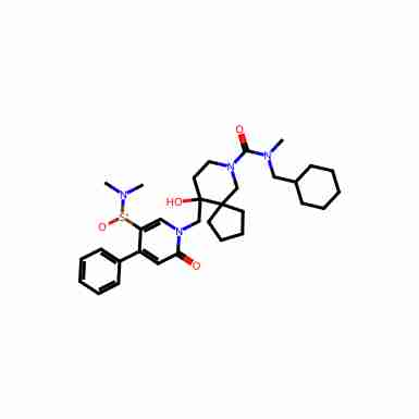 CN(CC1CCCCC1)C(=O)N1CCC(O)(Cn2cc([S+]([O-])N(C)C)c(-c3ccccc3)cc2=O)C2(CCCC2)C1